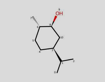 CC(C)[C@H]1CC[C@H](C)[C@@H](O)C1